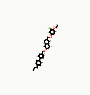 CCCc1ccc(-c2ccc(COC3CCC4CC(COc5ccc(OCC)c(F)c5F)CCC4C3)cc2)cc1